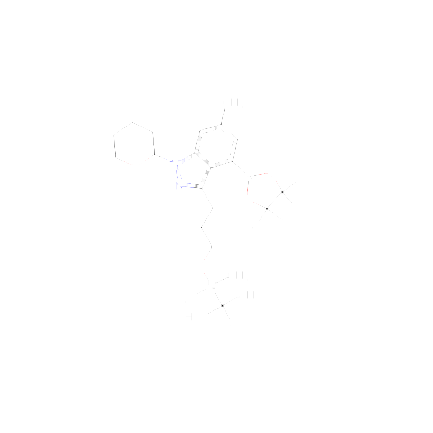 Cc1cc(B2OC(C)(C)C(C)(C)O2)c2c(CCCO[Si](C)(C)C(C)(C)C)nn(C3CCCCO3)c2c1